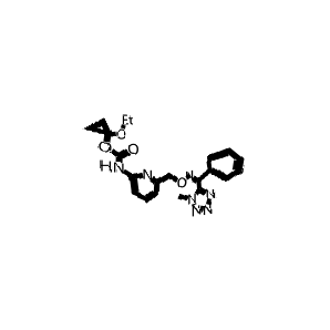 CCOC1(OC(=O)Nc2cccc(CO/N=C(/c3ccccc3)c3nnnn3C)n2)CC1